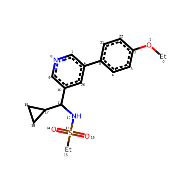 CCOc1ccc(-c2cncc(C(NS(=O)(=O)CC)C3CC3)c2)cc1